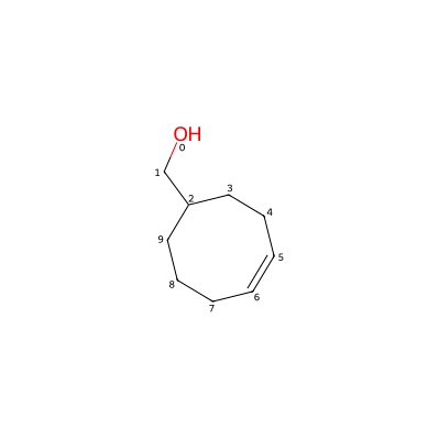 OCC1CCC=CCCC1